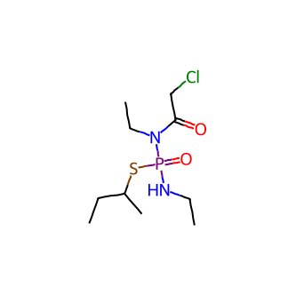 CCNP(=O)(SC(C)CC)N(CC)C(=O)CCl